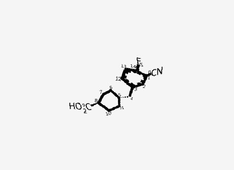 N#Cc1cc(C[C@H]2CC[C@H](C(=O)O)CC2)ccc1F